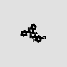 CC(c1cc(Cl)ccc1F)N(C)C(NC(N)c1ccccc1)c1ccccc1